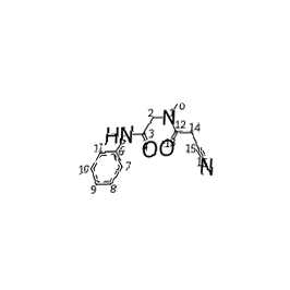 CN(CC(=O)Nc1ccccc1)C(=O)CC#N